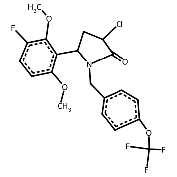 COc1ccc(F)c(OC)c1C1CC(Cl)C(=O)N1Cc1ccc(OC(F)(F)F)cc1